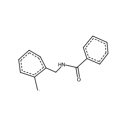 [CH2]c1ccccc1CNC(=O)c1ccccc1